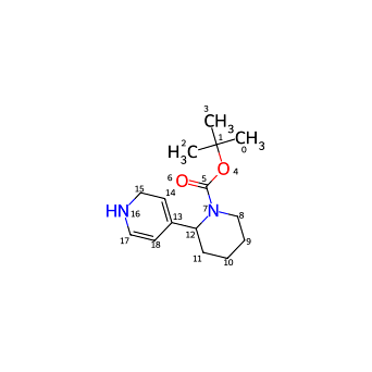 CC(C)(C)OC(=O)N1CCCCC1C1=CCNC=C1